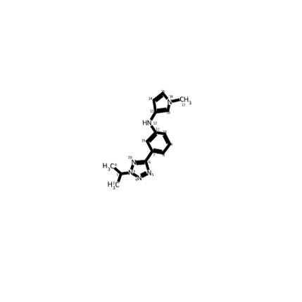 CC(C)n1nnc(-c2cccc(Nc3ccn(C)c3)c2)n1